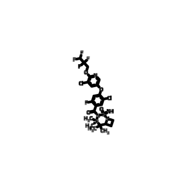 CC1(C)C2CCN2S(=N)(=O)N(C(=O)c2cc(Cl)c(Oc3cnc(OCC(F)(F)C(F)F)c(Cl)c3)cc2F)[Si]1(C)C